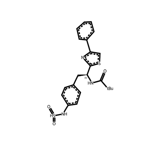 CC(C)(C)C(=O)N[C@@H](Cc1ccc(N[SH](=O)=O)cc1)c1nc(-c2ccccc2)cs1